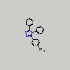 Bc1ccc(-c2nnc(-c3ccccc3)n2-c2ccccc2)cc1